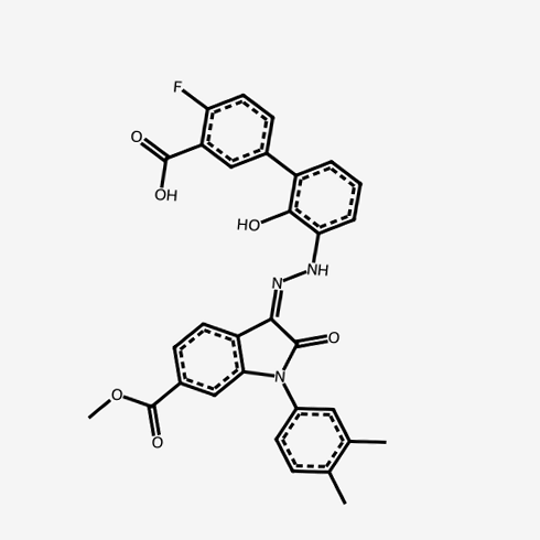 COC(=O)c1ccc2c(c1)N(c1ccc(C)c(C)c1)C(=O)C2=NNc1cccc(-c2ccc(F)c(C(=O)O)c2)c1O